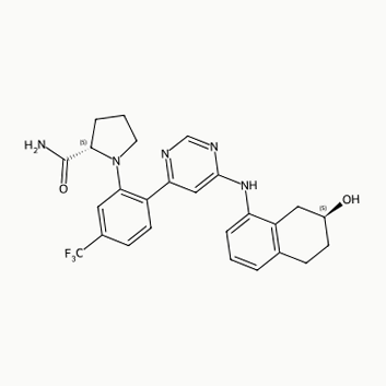 NC(=O)[C@@H]1CCCN1c1cc(C(F)(F)F)ccc1-c1cc(Nc2cccc3c2C[C@@H](O)CC3)ncn1